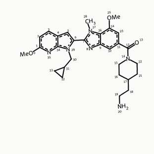 COc1ccc2cc(-c3nc4cc(C(=O)N5CCC(CCN)CC5)cc(OC)c4n3C)n(CC3CC3)c2n1